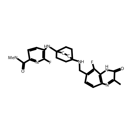 CNC(=O)c1ccc(NC23CCC(NCc4ccc5nc(C)c(=O)[nH]c5c4F)(CC2)CC3)c(F)n1